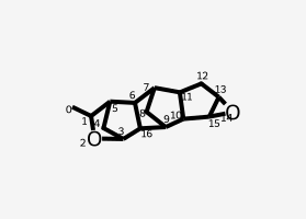 CC1OC2CC1C1C3CC(C4C3CC3OC34)C21